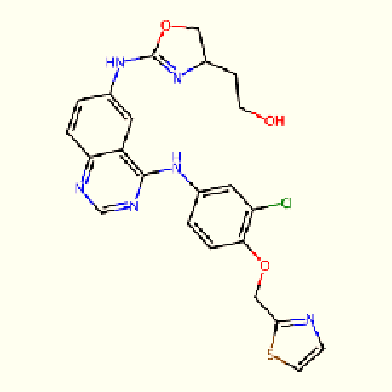 OCCC1COC(Nc2ccc3ncnc(Nc4ccc(OCc5nccs5)c(Cl)c4)c3c2)=N1